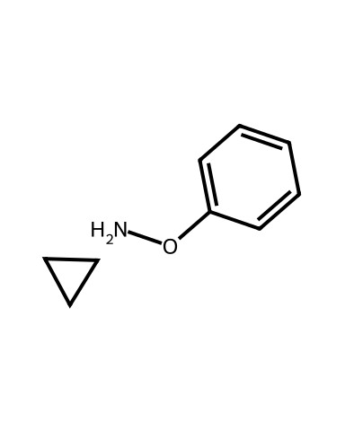 C1CC1.NOc1ccccc1